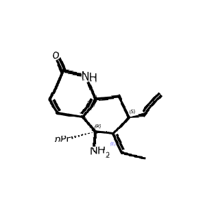 C=C[C@@H]1Cc2[nH]c(=O)ccc2[C@@](N)(CCC)/C1=C/C